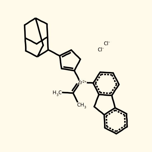 C[C](C)=[Zr+2]([C]1=CC(C2C3CC4CC(C3)CC2C4)=CC1)[c]1cccc2c1Cc1ccccc1-2.[Cl-].[Cl-]